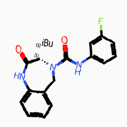 CC[C@H](C)[C@H]1C(=O)Nc2ccccc2CN1C(=O)Nc1cccc(F)c1